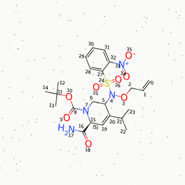 C=CCON(C1CN(C(=O)OC(C)(C)C)[C@H](C(N)=O)C=C1C(C)C)S(=O)(=O)c1ccccc1[N+](=O)[O-]